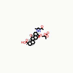 CC(=O)c1cc(C)n([C@H]2CC[C@@]3(C)[C@@H](CC[C@]4(C)[C@@H]3C(=O)C=C3[C@@H]5C[C@@](C)(C(=O)O)CC[C@]5(C)CC[C@]34C)[C@]2(C)C(=O)OCc2oc(=O)oc2C)n1